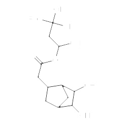 CC(CC(O)(C(F)(F)F)C(F)(F)F)OC(=O)CC1CC2CC1C(C)C2C